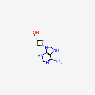 NC1=NCNC2=C1NCN2[C@H]1C[C@@H](CO)C1